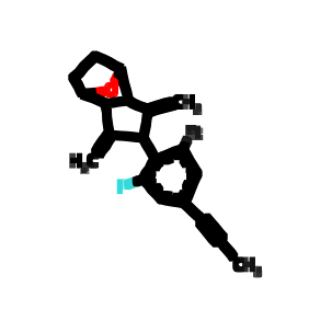 C=C1C(c2c(F)cc(C#CC)cc2CC)C(=C)C2C3CCC(O3)C12